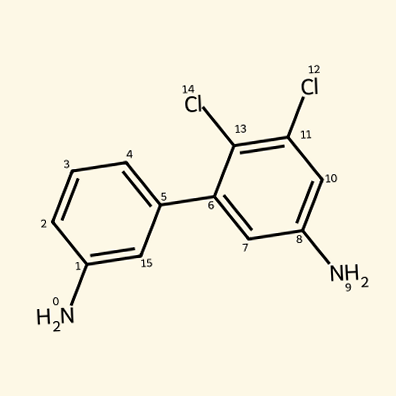 Nc1cccc(-c2cc(N)cc(Cl)c2Cl)c1